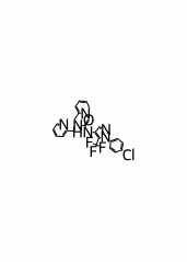 O=C(Nc1cnn(-c2ccc(Cl)cc2)c1C(F)(F)F)N(Cc1ccccn1)Cc1ccccn1